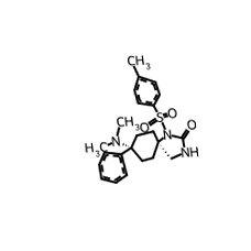 Cc1ccc(S(=O)(=O)N2C(=O)NC[C@]23CC[C@@](c2ccccc2)(N(C)C)CC3)cc1